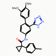 COc1ccc(-c2ccc(NC(=O)C3(c4ccc(C)cc4)CC3)cc2-c2nnn[nH]2)cc1OC